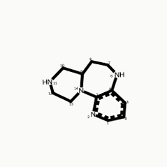 c1cnc2c(c1)NCCC1CNCCN21